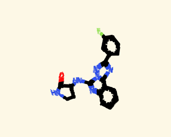 O=C1NCCC1Nc1nc2ccccc2c2nc(-c3cccc(F)c3)nn12